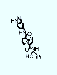 CC(C)C[C@@H](CO)NC(=O)c1cnc2c(C(=O)NCc3ccc4[nH]ncc4c3)cccn12